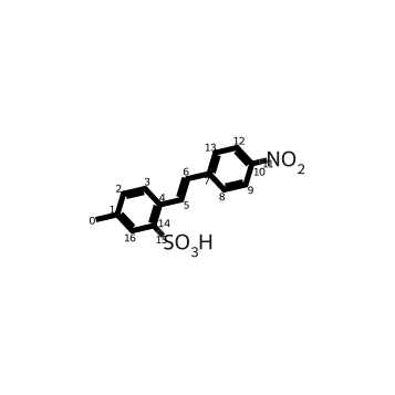 Cc1ccc(/C=C/c2ccc([N+](=O)[O-])cc2)c(S(=O)(=O)O)c1